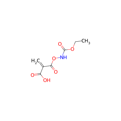 C=C(C(=O)O)C(=O)ONC(=O)OCC